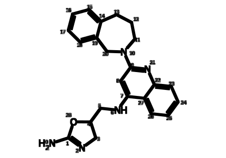 NC1=NCC(CNc2cc(N3CCCc4ccccc4C3)nc3ccccc23)O1